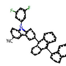 N#Cc1ccc2c(c1)c1cc(-c3c4ccccc4c(-c4cccc5ccccc45)c4ccccc34)ccc1n2-c1cc(F)cc(F)c1